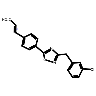 O=C(O)/C=C/c1ccc(-c2nc(Cc3cccc(Cl)c3)no2)cc1